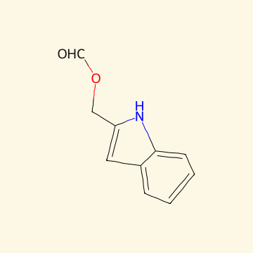 O=COCc1cc2ccccc2[nH]1